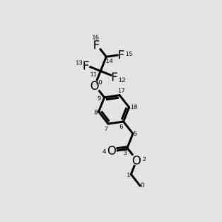 CCOC(=O)Cc1ccc(OC(F)(F)C(F)F)cc1